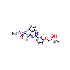 CC(C)[C@@H](O)COc1ccnc(-c2nc3c(c(N(C)CC(=O)NC(C)(C)C)n2)CCC3)c1